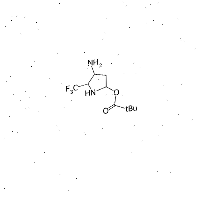 CC(C)(C)C(=O)OC1CC(N)C(C(F)(F)F)N1